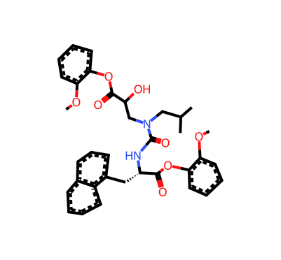 COc1ccccc1OC(=O)C(O)CN(CC(C)C)C(=O)N[C@@H](Cc1cccc2ccccc12)C(=O)Oc1ccccc1OC